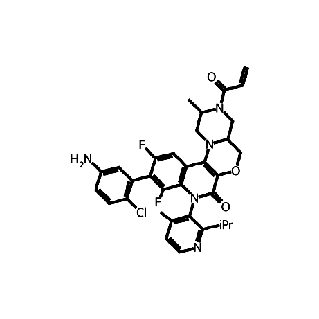 C=CC(=O)N1CC2COc3c(c4cc(F)c(-c5cc(N)ccc5Cl)c(F)c4n(-c4c(C)ccnc4C(C)C)c3=O)N2CC1C